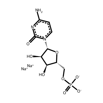 Nc1ccn([C@@H]2O[C@H](COP(=O)([O-])[O-])[C@@H](O)[C@H]2O)c(=O)n1.[Na+].[Na+]